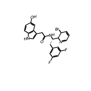 O=C(Cc1c[nH]c2ccc(O)cc12)N[C@@H](Cc1cc(F)cc(F)c1)C1N=CC=CC1Br